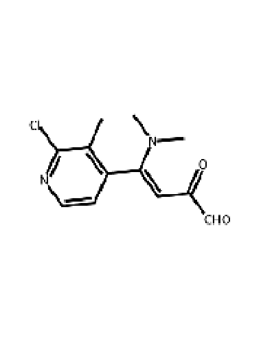 Cc1c(C(=CC(=O)C=O)N(C)C)ccnc1Cl